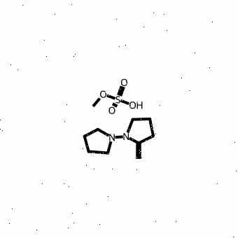 C=C1CCCN1N1CCCC1.COS(=O)(=O)O